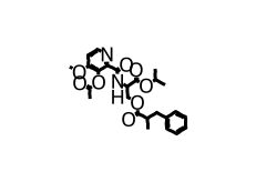 COc1ccnc(C(=O)NC(COC(=O)C(C)Cc2ccccc2)C(=O)OC(C)C)c1OC(C)=O